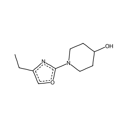 CCc1coc(N2CCC(O)CC2)n1